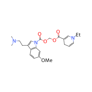 CCN1C=CCC(C(=O)OCOC(=O)n2cc(CCN(C)C)c3ccc(OC)cc32)=C1